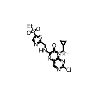 CCS(=O)(=O)c1cnc(CNc2nc3cnc(Cl)nc3n([C@@H](C)C3CC3)c2=O)s1